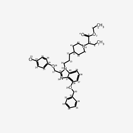 CCOC(=O)C(CC)N1CCC(CCCn2c(COc3ccc(Cl)cc3)nc3c(OCc4ccccc4)cccc32)CC1